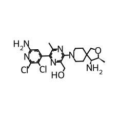 Cc1nc(N2CCC3(CC2)CO[C@@H](C)[C@H]3N)c(CO)nc1-c1cc(N)nc(Cl)c1Cl